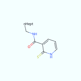 CCCCCCCCNC(=O)c1ccc[nH]c1=S